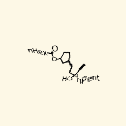 C#C[C@](O)(CCCCC)CCC1CCC(OC(=O)CCCCCC)C1